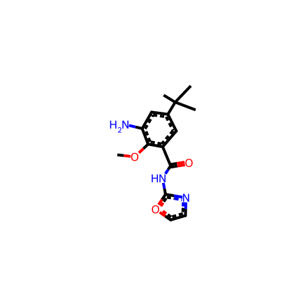 COc1c(N)cc(C(C)(C)C)cc1C(=O)Nc1ncco1